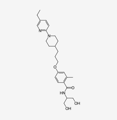 CCc1ccc(N2CCC(CCCOc3ccc(C(=O)NC(CO)CO)c(C)c3)CC2)nc1